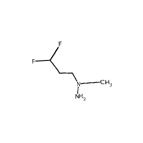 CN(N)CCC(F)F